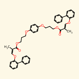 CC(=COc1ccccc1-c1ccccc1)C(=O)OCCCOc1ccc(OCCCOC(=O)C(C)=COc2ccccc2-c2ccccc2)cc1